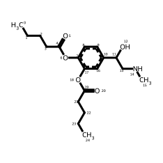 CCCCC(=O)Oc1ccc(C(O)CNC)cc1OC(=O)CCCC